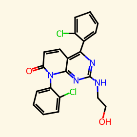 O=c1ccc2c(-c3ccccc3Cl)nc(NCCO)nc2n1-c1ccccc1Cl